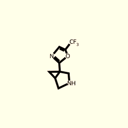 FC(F)(F)c1cnc(C23CNCC2C3)o1